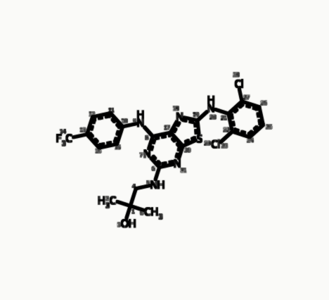 CC(C)(O)CNc1nc(Nc2ccc(C(F)(F)F)cc2)c2nc(Nc3c(Cl)cccc3Cl)sc2n1